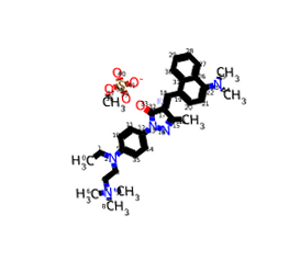 CCN(CC[N+](C)(C)C)c1ccc(N2N=C(C)/C(=C\c3ccc(N(C)C)c4ccccc34)C2=O)cc1.COS(=O)(=O)[O-]